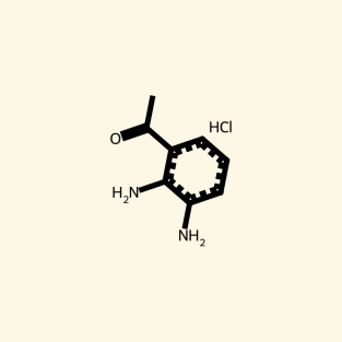 CC(=O)c1cccc(N)c1N.Cl